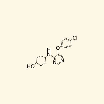 O[C@H]1CC[C@H](Nc2ncncc2Oc2ccc(Cl)cc2)CC1